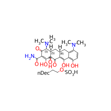 CCCCCCCCCCCCOS(=O)(=O)O.CN(C)c1ccc(O)c2c1C[C@H]1C[C@H]3[C@H](N(C)C)C(=O)C(C(N)=O)=C(O)[C@@]3(O)C(=O)C1=C2O